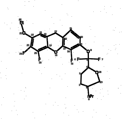 CCCC1CCC(C(F)(F)Oc2ccc3c(c2F)Oc2c(cc(OCC)c(F)c2F)C3)OC1